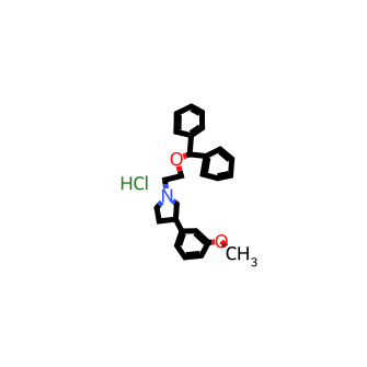 COc1cccc(C2CCN(CCOC(c3ccccc3)c3ccccc3)C2)c1.Cl